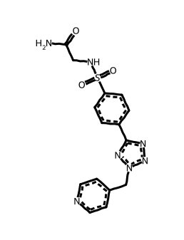 NC(=O)CNS(=O)(=O)c1ccc(-c2nnn(Cc3ccncc3)n2)cc1